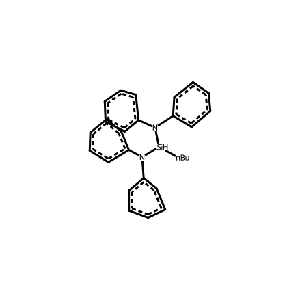 CCCC[SiH](N(c1ccccc1)c1ccccc1)N(c1ccccc1)c1ccccc1